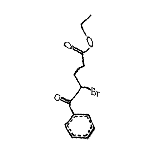 CCOC(=O)CCC(Br)C(=O)c1ccccc1